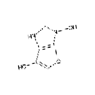 Oc1coc2c1NCN2O